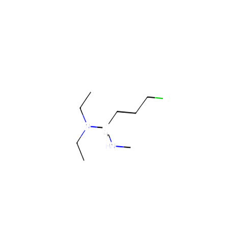 CCN(CC)[SiH](CCCCl)NC